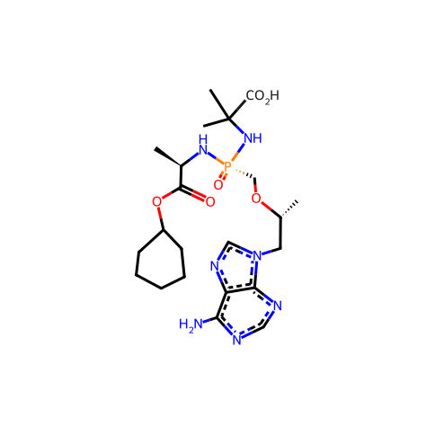 C[C@H](Cn1cnc2c(N)ncnc21)OC[P@](=O)(N[C@H](C)C(=O)OC1CCCCC1)NC(C)(C)C(=O)O